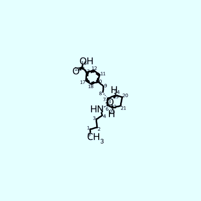 CCCCCN[C@@H]1[C@H](CCc2ccc(C(=O)O)cc2)[C@@H]2CC[C@H]1O2